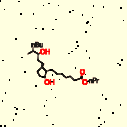 CCCCC(C)C(O)CC=C1CC[C@@H](O)[C@@H]1CCCCCCC(=O)OCCC